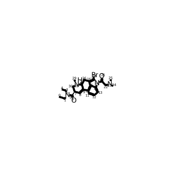 CCN(CC)C(=O)[C@@H]1C=C2c3cccc4c3c(c(Br)n4C(=O)CN(C)C)C[C@H]2N(C)C1